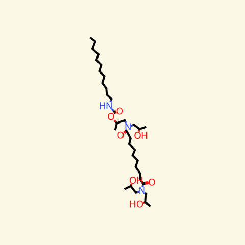 CCCCCCCCCCCCNC(=O)OC(C)CN(CC(C)O)C(=O)CCCCCCCCC(=O)N(CC(C)O)CC(C)O